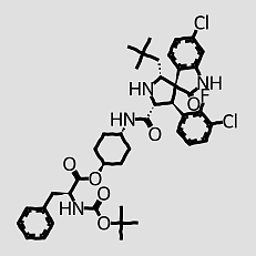 CC(C)(C)C[C@H]1N[C@@H](C(=O)N[C@H]2CC[C@H](OC(=O)[C@H](Cc3ccccc3)NC(=O)OC(C)(C)C)CC2)[C@H](c2cccc(Cl)c2F)[C@@]12C(=O)Nc1cc(Cl)ccc12